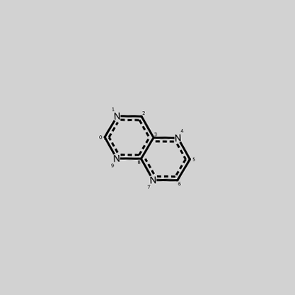 [c]1ncc2nccnc2n1